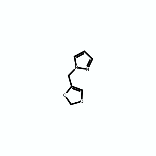 C1=C(Cn2cccn2)OCO1